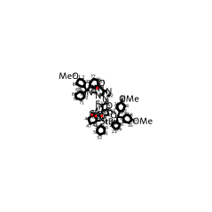 COc1ccc(C(Nc2nc3c(ncn3[C@@H]3O[C@](COC(c4ccccc4)(c4ccc(OC)cc4)c4ccc(OC)cc4)(CO[Si](c4ccccc4)(c4ccccc4)C(C)(C)C)[C@@H](O[Si](C)(C)C(C)(C)C)[C@@H]3F)c(=O)[nH]2)(c2ccccc2)c2ccccc2)cc1